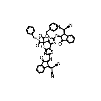 N#CC(C#N)=C1/C(=N/c2nc3c(s2)-c2sc(/N=C4\C(=O)c5ccccc5C4=C(C#N)C#N)nc2C(C(=O)OCc2ccccc2)(C(=O)OCc2ccccc2)O3)C(=O)c2ccccc21